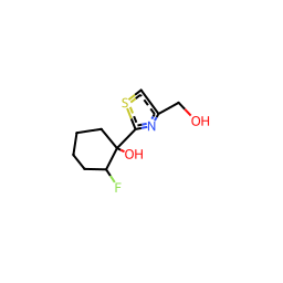 OCc1csc(C2(O)CCCCC2F)n1